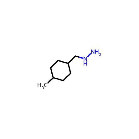 CC1CCC(CNN)CC1